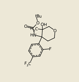 CC(C)(C)OC(=O)NC1(c2ccc(C(F)(F)F)cc2F)CCOCC1(C)O